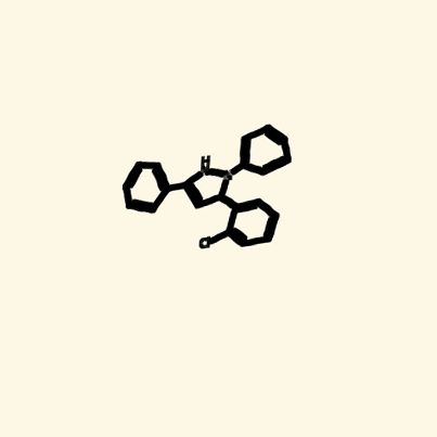 Clc1ccccc1C1C=C(c2ccccc2)NN1c1ccccc1